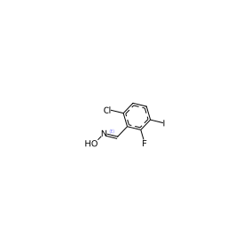 O/N=C/c1c(Cl)ccc(I)c1F